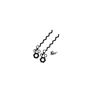 CCCCCCCCCCOP1Oc2ccccc2O1.CCCCCCCCCCOP1Oc2ccccc2O1.[Br-].[Cu+]